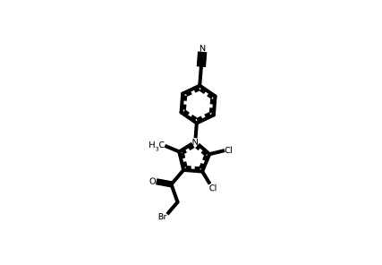 Cc1c(C(=O)CBr)c(Cl)c(Cl)n1-c1ccc(C#N)cc1